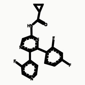 O=C(Nc1cnc(-c2ccncc2F)c(-c2ccc(F)cc2F)n1)C1CC1